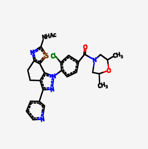 CC(=O)Nc1nc2c(s1)-c1c(c(-c3cccnc3)nn1-c1ccc(C(=O)N3CC(C)OC(C)C3)cc1Cl)CC2